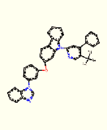 [2H]C([2H])([2H])c1cnc(-n2c3ccccc3c3ccc(Oc4cccc(-n5cnc6ccccc65)c4)cc32)cc1-c1ccccc1